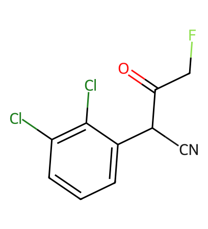 N#CC(C(=O)CF)c1cccc(Cl)c1Cl